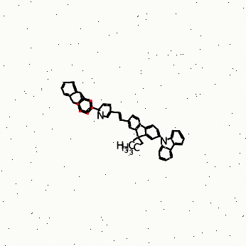 CCC1(CC)c2cc(/C=C/c3ccc(-c4ccc5c(c4)C4c6ccccc6C5c5ccccc54)nc3)ccc2-c2ccc(-n3c4ccccc4c4ccccc43)cc21